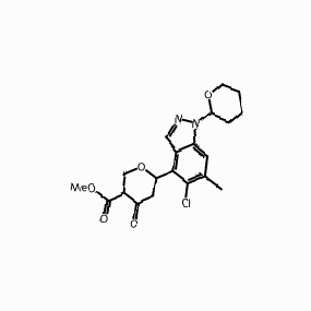 COC(=O)C1COC(c2c(Cl)c(C)cc3c2cnn3C2CCCCO2)CC1=O